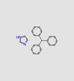 c1c[nH]cn1.c1ccc(C(c2ccccc2)c2ccccc2)cc1